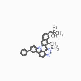 Cc1c2cc(CC(C)(C)C)ccc2cc2c1c1c3c(ccc4c5cc(-c6ccccc6)ccc5n2c43)nc[n+]1C